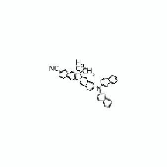 CC1(C)c2cc3cc(C#N)ccc3cc2-c2cc3ccc(N(c4ccc5ccccc5c4)c4ccc5ccccc5c4)cc3cc21